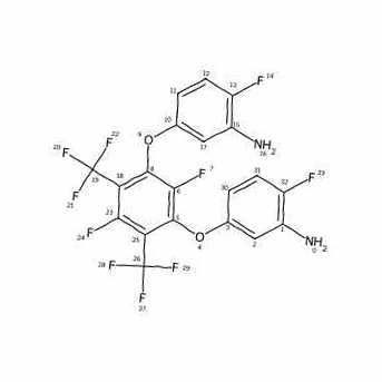 Nc1cc(Oc2c(F)c(Oc3ccc(F)c(N)c3)c(C(F)(F)F)c(F)c2C(F)(F)F)ccc1F